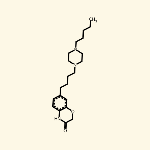 CCCCCN1CCN(CCCCc2ccc3c(c2)OCC(=O)N3)CC1